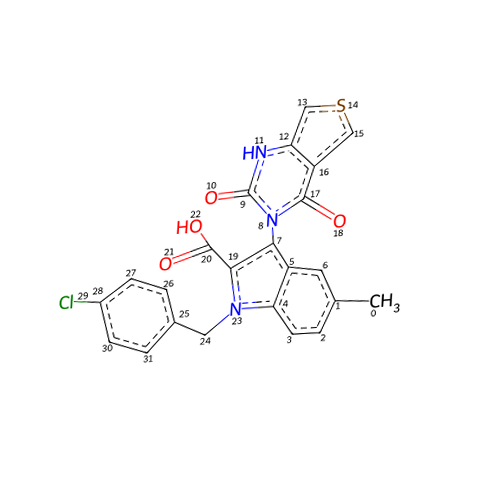 Cc1ccc2c(c1)c(-n1c(=O)[nH]c3cscc3c1=O)c(C(=O)O)n2Cc1ccc(Cl)cc1